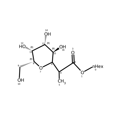 CCCCCCOC(=O)C(C)C1O[C@H](CO)[C@H](O)[C@H](O)[C@H]1O